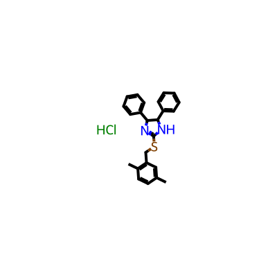 Cc1ccc(C)c(CSC2=NC(c3ccccc3)C(c3ccccc3)N2)c1.Cl